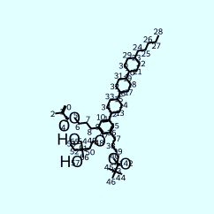 C=C(C)C(=O)OCCCc1cc(C2CCC(C3CCC(C4CCC(CCCCC)CC4)CC3)CC2)cc(CCCOC(=O)C(C)(C)C)c1OCCC(CC)(CO)CO